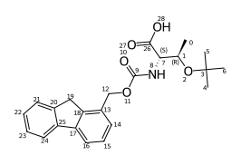 C[C@@H](OC(C)(C)C)[C@H](NC(=O)OCc1cccc2c1Cc1ccccc1-2)C(=O)O